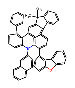 CC1(C)c2ccccc2-c2ccc(-c3c(-c4ccccc4)cccc3N(c3ccc4ccccc4c3)c3ccccc3-c3cccc4oc5ccccc5c34)cc21